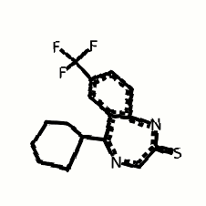 FC(F)(F)c1ccc2nc(=S)cnc(C3CCCCC3)c2c1